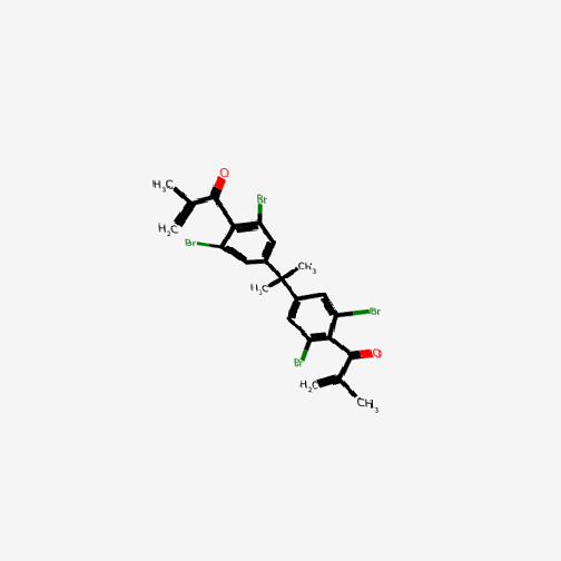 C=C(C)C(=O)c1c(Br)cc(C(C)(C)c2cc(Br)c(C(=O)C(=C)C)c(Br)c2)cc1Br